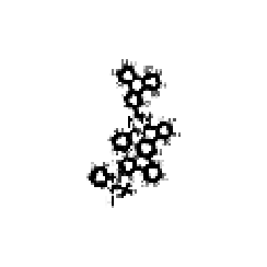 CC(C)(C)C1Nc2ccccc2N1c1cccc(-c2ccccc2-c2cccc(-c3ccccc3-c3nc(-c4ccccc4)nc(-c4ccc5c6ccccc6c6ccccc6c5c4)n3)c2)c1